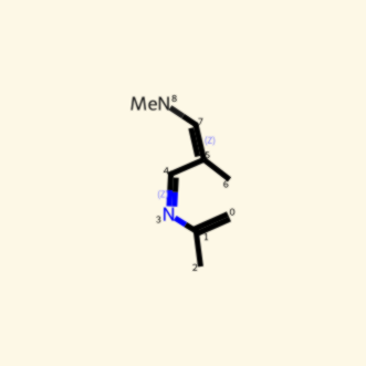 C=C(C)/N=C\C(C)=C/NC